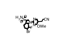 COc1nc(-n2cc(S(N)(=O)=O)c3ccc(Br)c(F)c32)ncc1CCC#N